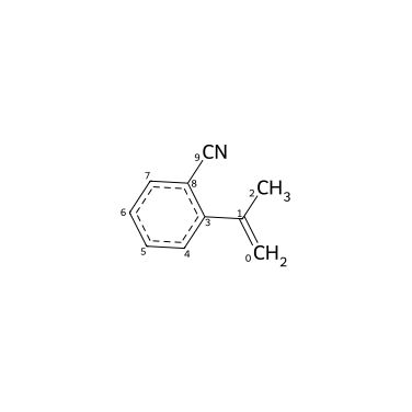 C=C(C)c1ccccc1C#N